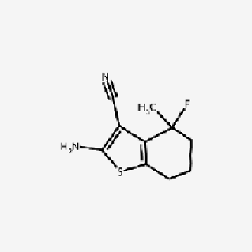 CC1(F)CCCc2sc(N)c(C#N)c21